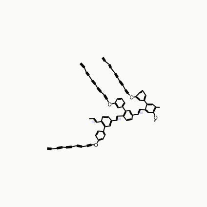 C#CC#CC#CC#CC#COc1ccc(-c2cc(/C=C/c3ccc(/C=C/c4cc(OC)c(C)cc4-c4cccc(OC#CC#CC#CC#CC#C)c4)cc3-c3cccc(OC#CC#CC#CC#CC#C)c3)ccc2/C=C/C)cc1